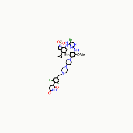 CCc1cc(Nc2ncc(Br)c(Nc3ccc(C4CC4)c4ccn(S(C)(=O)=O)c34)n2)c(OC)cc1N1CCC(N2CCN(CCc3cc(F)c(C4CCC(=O)NC4=O)c(F)c3)CC2)CC1